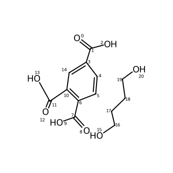 O=C(O)c1ccc(C(=O)O)c(C(=O)O)c1.OCCCCO